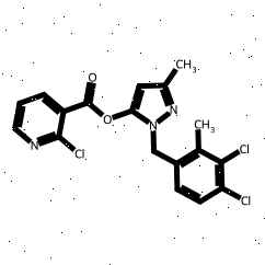 Cc1cc(OC(=O)c2cccnc2Cl)n(Cc2ccc(Cl)c(Cl)c2C)n1